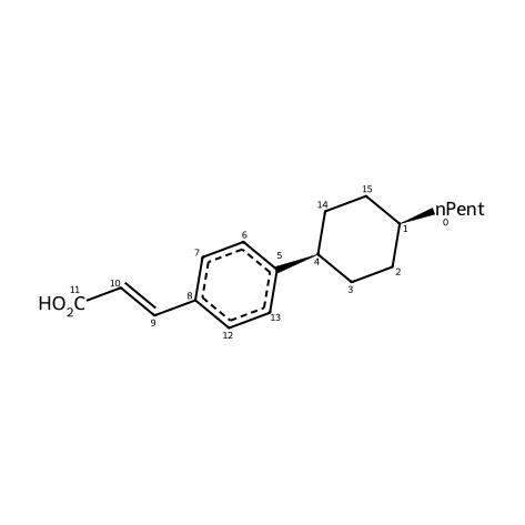 CCCCC[C@H]1CC[C@@H](c2ccc(/C=C/C(=O)O)cc2)CC1